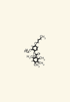 CCCCOc1ccc(PC(=O)c2c(C)cc(C)c(C)c2C)c(C)c1.[LiH]